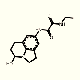 CCNC(=O)C(=O)Nc1cc2c3c(c1)CCN3C(O)CC2